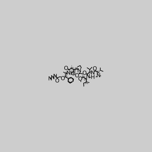 CC[C@H](C)[C@@H]([C@@H](CC(=O)N1CCC[C@H]1[C@H](OC)[C@@H](C)C(=O)N[C@H](C)[C@@H](OCC(=O)N=[N+]=[N-])c1ccccc1)OC)N(C)C(=O)[C@@H](NC(=O)[C@H](C(C)C)N(C)C)C(C)C